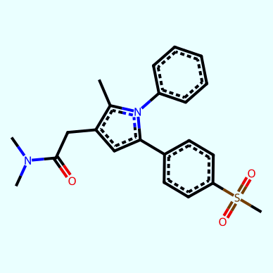 Cc1c(CC(=O)N(C)C)cc(-c2ccc(S(C)(=O)=O)cc2)n1-c1ccccc1